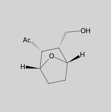 CC(=O)[C@@H]1[C@H](CO)[C@@H]2CC[C@H]1O2